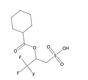 O=C(OC(CS(=O)(=O)O)C(F)(F)F)C1CCCCC1